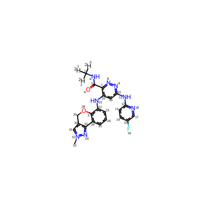 [2H]C([2H])([2H])NC(=O)c1nnc(Nc2ccc(F)cn2)cc1Nc1cccc2c1OCc1cn(C)nc1-2